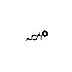 O=[C]CN1CCN(C(=O)Nc2ccccc2)CC1